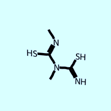 CN=C(S)N(C)C(=N)S